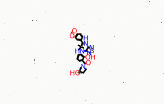 CC(C)(C)[C@@H](Nc1nsnc1Nc1cccc(C(=O)N2CC[C@@H](O)C2)c1O)c1ccc2c(c1)OCO2